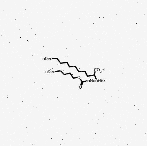 CCCCCCCCCCCCCCCCCCC(CCCCCC)C(=O)O.CCCCCCCCCCCCCCOC(=O)CCCCCCCCC